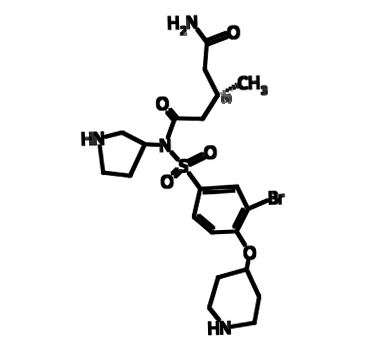 C[C@@H](CC(N)=O)CC(=O)N(C1CCNC1)S(=O)(=O)c1ccc(OC2CCNCC2)c(Br)c1